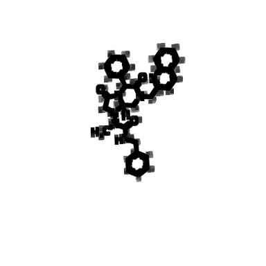 CN(C(=O)NCc1ccccc1)N1CC(=O)N2[C@@H](c3ccccc3)C(=O)N(Cc3ccc4ccccc4n3)C[C@@H]21